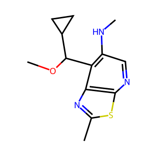 CNc1cnc2sc(C)nc2c1C(OC)C1CC1